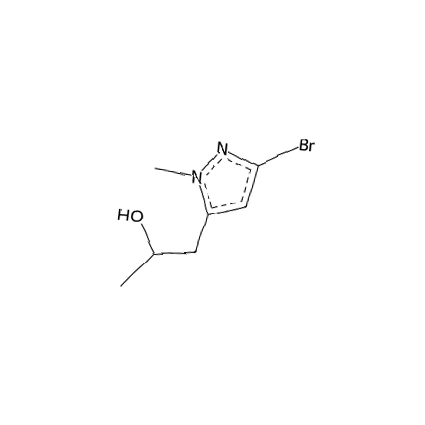 CC(O)Cc1cc(Br)nn1C